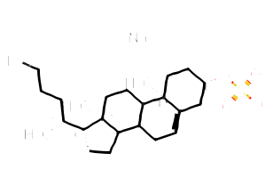 CC(C)CCC[C@@H](C)[C@H]1CCC2C3CC=C4C[C@@H](OS(=O)(=O)[O-])CC[C@]4(C)C3CC[C@@]21C.[Na+]